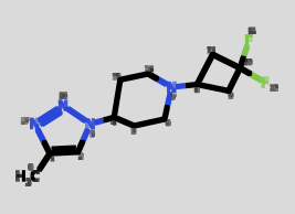 Cc1cn(C2CCN(C3CC(F)(F)C3)CC2)nn1